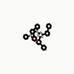 c1ccc(-c2cccc(-c3nc(-c4cccc(-c5ccccc5)c4)nc(-n4c5ccccc5c5ccc6c(c7ccccc7n6-c6ccccc6)c54)n3)c2)cc1